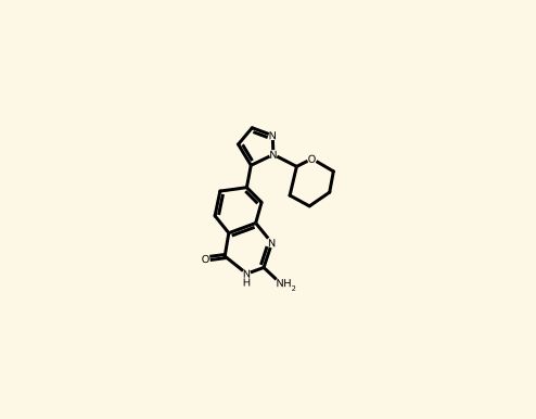 Nc1nc2cc(-c3ccnn3C3CCCCO3)ccc2c(=O)[nH]1